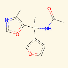 CC(=O)NC(C)(c1ccoc1)c1ocnc1C